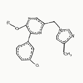 CCOc1ncc(Cn2cnc(C)c2)nc1-c1cccc(Cl)c1